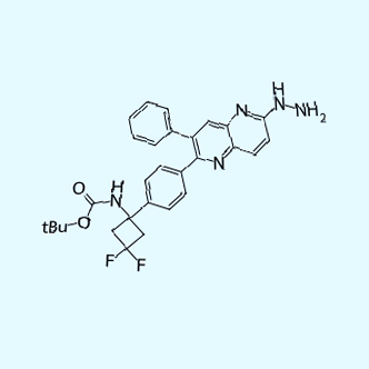 CC(C)(C)OC(=O)NC1(c2ccc(-c3nc4ccc(NN)nc4cc3-c3ccccc3)cc2)CC(F)(F)C1